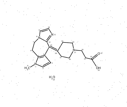 Cn1ccc2c1CCn1ccnc1C2=C1CCN(CCC(=O)O)CC1.O